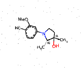 COc1cc(N2CC[C@](C)(O)[C@@H]2C)ccc1C#N